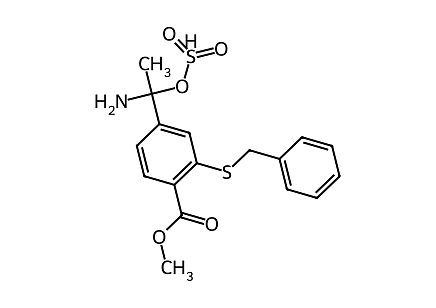 COC(=O)c1ccc(C(C)(N)O[SH](=O)=O)cc1SCc1ccccc1